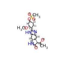 COc1cc(OS(C)(=O)=O)ccc1-c1nc2cc3c(cc2[nH]1)NC(=O)C3C(C)=O